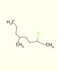 CCCC(C)CCC(F)CC